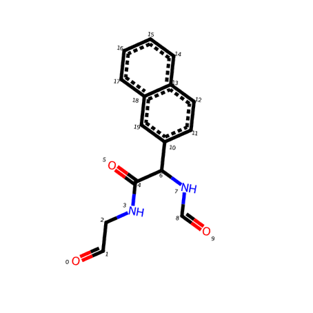 O=CCNC(=O)C(NC=O)c1ccc2ccccc2c1